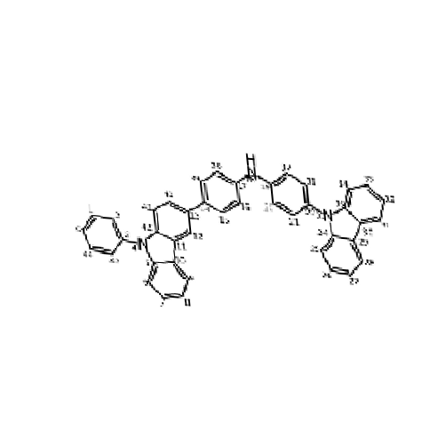 c1ccc(-n2c3ccccc3c3cc(-c4ccc(Nc5ccc(-n6c7ccccc7c7ccccc76)cc5)cc4)ccc32)cc1